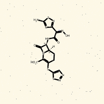 Nc1nc(/C(=N/O)C(=O)N[C@@H]2C(=O)N3C(C(=O)O)=C(Sc4cnns4)CC[C@H]23)ns1